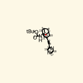 CC(C)(C)OC(=O)NC12CC3CC(CC(C#Cc4cnccn4)(C3)C1)C2